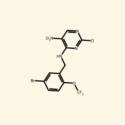 O=[N+]([O-])c1cnc(Cl)nc1NCc1cc(Br)ccc1OC(F)(F)F